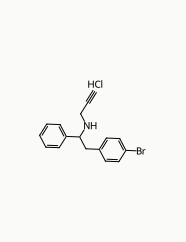 C#CCNC(Cc1ccc(Br)cc1)c1ccccc1.Cl